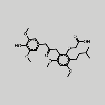 COc1cc(CC(=O)Cc2c(OC)cc(OC)c(CCC(C)C)c2OCC(=O)O)cc(OC)c1O